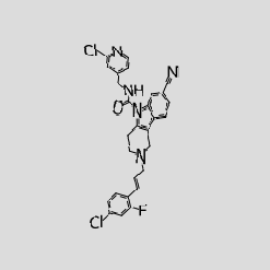 N#Cc1ccc2c3c(n(C(=O)NCc4ccnc(Cl)c4)c2c1)CCN(CC=Cc1ccc(Cl)cc1F)C3